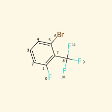 Fc1cccc(Br)c1C(F)(F)F